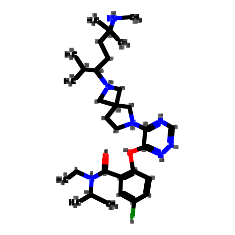 CCN(C(=O)c1cc(F)ccc1Oc1nncnc1N1CCC2(C1)CN(C(CCC(C)(C)NC)C(C)C)C2)C(C)C